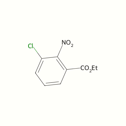 CCOC(=O)c1cccc(Cl)c1[N+](=O)[O-]